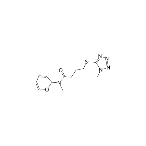 CN(C(=O)CCCSc1nnnn1C)C1C=CC=CO1